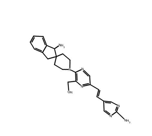 Nc1ncc(C=Cc2cnc(N3CCC4(CC3)Cc3ccccc3C4N)c(CO)n2)cn1